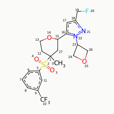 CC1(S(=O)(=O)c2cccc(C(F)(F)F)c2)CCOC(c2cc(CF)nn2C2COC2)C1